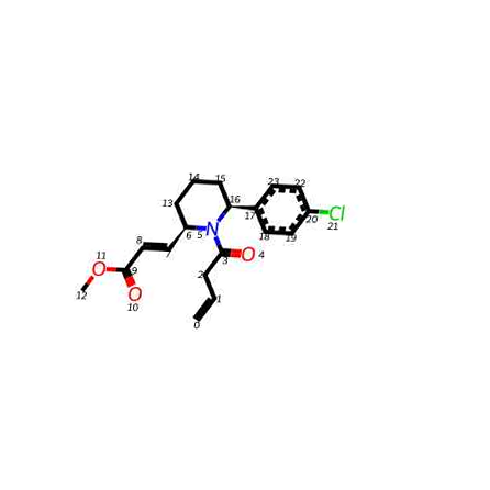 C=CCC(=O)N1[C@@H](C=CC(=O)OC)CCC[C@H]1c1ccc(Cl)cc1